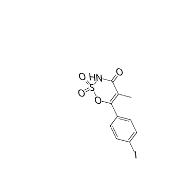 CC1=C(c2ccc(I)cc2)OS(=O)(=O)NC1=O